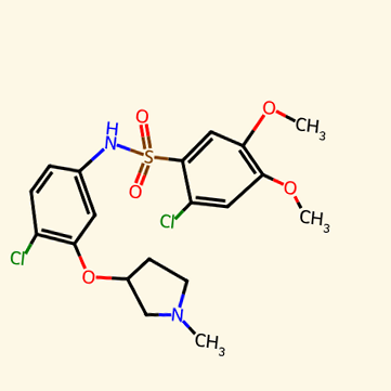 COc1cc(Cl)c(S(=O)(=O)Nc2ccc(Cl)c(OC3CCN(C)C3)c2)cc1OC